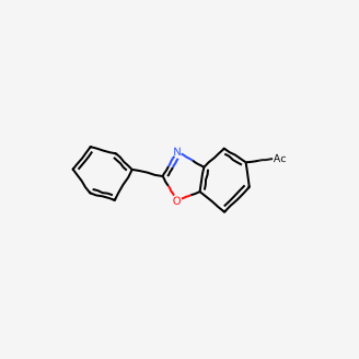 CC(=O)c1ccc2oc(-c3ccccc3)nc2c1